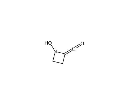 O=C=C1CCN1O